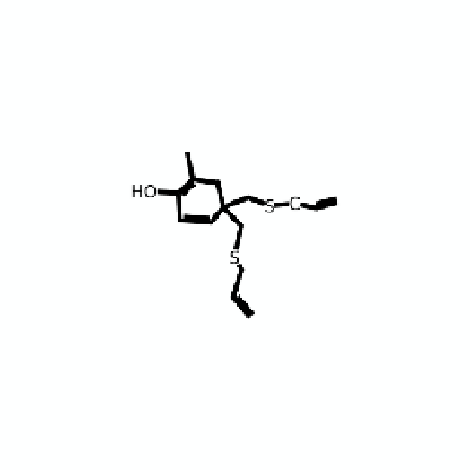 C=CCSCC1(CSCC=C)C=CC(O)=C(C)C1